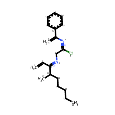 C=C/C(=N\C/C(Cl)=N\C(=C)c1ccccc1)C(C)CCCCC